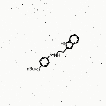 CCCCOc1ccc(SNCCc2cc3ccccc3[nH]2)cc1